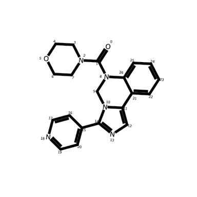 O=C(N1CCOCC1)N1Cn2c(cnc2-c2ccncc2)-c2ccccc21